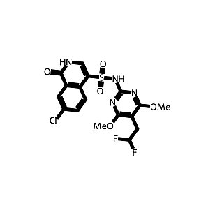 COc1nc(NS(=O)(=O)c2c[nH]c(=O)c3cc(Cl)ccc23)nc(OC)c1CC(F)F